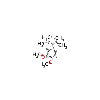 C=C(C)C(=C(C)C)c1ccc(OC)c(OC)c1